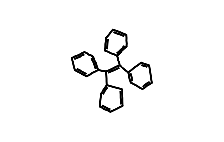 [c]1ccccc1C(=C(c1ccccc1)c1ccccc1)c1ccccc1